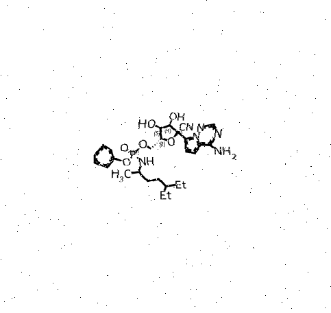 CCC(CC)CCC(C)N[P@](=O)(OC[C@H]1O[C@@](C#N)(c2ccc3c(N)ncnn23)[C@H](O)[C@@H]1O)Oc1ccccc1